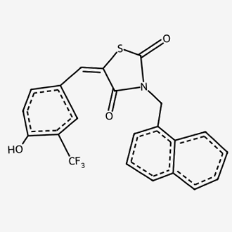 O=C1S/C(=C/c2ccc(O)c(C(F)(F)F)c2)C(=O)N1Cc1cccc2ccccc12